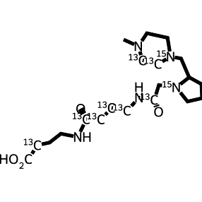 CN1CC[15N](CC2CCC[15N]2C[13C](=O)N[13CH2][13CH2][13CH2][13C](=O)NCC[13CH2][13C](=O)O)[13CH2][13CH2]1